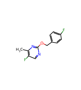 Cc1nc(OCc2ccc(F)cc2)ncc1F